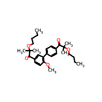 CCCCOC(C)(C)C(=O)c1ccc(-c2cc(C(=O)C(C)(C)OCCCC)ccc2OC)cc1